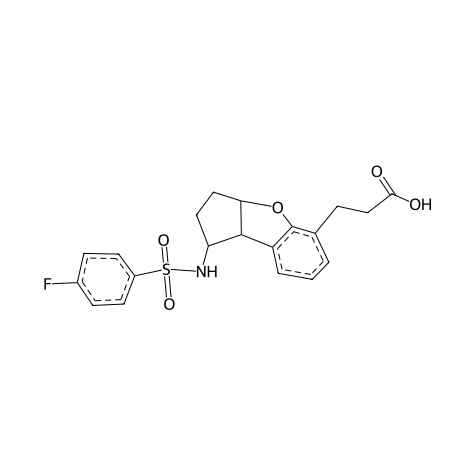 O=C(O)CCc1cccc2c1OC1CCC(NS(=O)(=O)c3ccc(F)cc3)C21